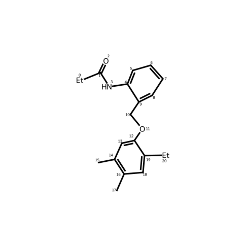 CCC(=O)Nc1ccccc1COc1cc(C)c(C)cc1CC